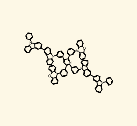 c1ccc(-n2c3ccccc3c3cc(-c4ccc5c(c4)c4ccccc4n5-c4cccc(-c5cc(-c6cccc(B7c8ccccc8Oc8ccccc87)c6)c(-c6cccc(-n7c8ccccc8c8cc(-c9ccc%10c(c9)c9ccccc9n%10-c9ccccc9)ccc87)c6)nc5-c5cccc(B6c7ccccc7Oc7ccccc76)c5)c4)ccc32)cc1